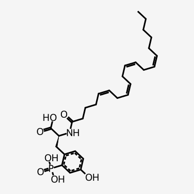 CCCCC/C=C\C/C=C\C/C=C\C/C=C\CCCC(=O)N[C@@H](Cc1ccc(O)cc1P(=O)(O)O)C(=O)O